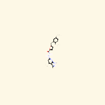 COc1ccc(OC)c(Cc2ccc(C(=O)NNc3cc(C)c4c(C)nn(C)c4n3)o2)c1